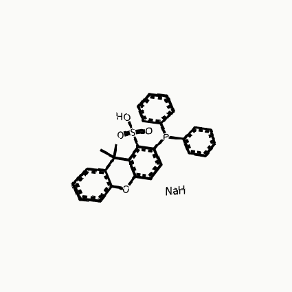 CC1(C)c2ccccc2Oc2ccc(P(c3ccccc3)c3ccccc3)c(S(=O)(=O)O)c21.[NaH]